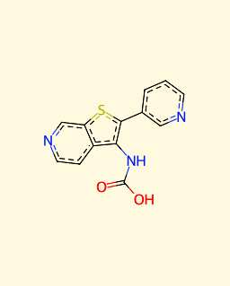 O=C(O)Nc1c(-c2cccnc2)sc2cnccc12